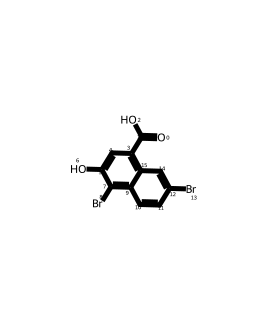 O=C(O)c1cc(O)c(Br)c2ccc(Br)cc12